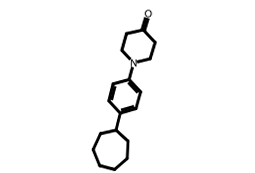 O=C1CCN(c2ccc(C3CCCCCC3)cc2)CC1